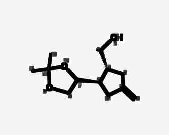 C=C1C[C@@H](CO)[C@H](C2COC(C)(C)O2)C1